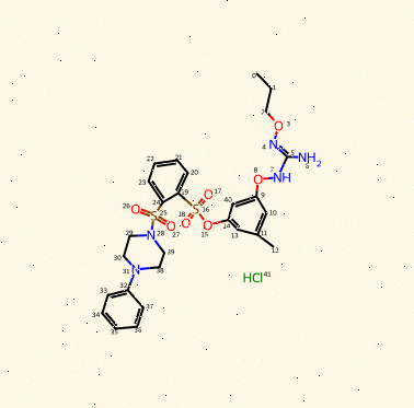 CCCON=C(N)NOc1cc(C)cc(OS(=O)(=O)c2ccccc2S(=O)(=O)N2CCN(c3ccccc3)CC2)c1.Cl